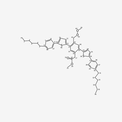 CCCCCCc1ccc(-c2ccc(-c3cc(CC(=O)OC)c(-c4ccc(-c5ccc(CCCCCC)cc5)s4)cc3COOC)s2)cc1